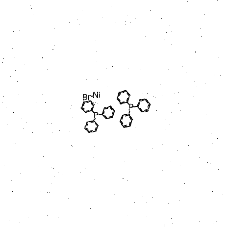 [Ni][Br].c1ccc(P(c2ccccc2)c2ccccc2)cc1.c1ccc(P(c2ccccc2)c2ccccc2)cc1